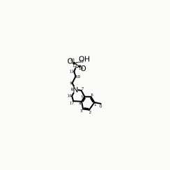 Cc1ccc2c(c1)CN(CCCS(=O)(=O)O)CC2